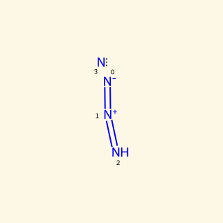 [N-]=[N+]=N.[N]